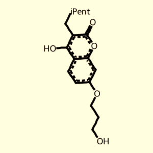 CCCC(C)Cc1c(O)c2ccc(OCCCO)cc2oc1=O